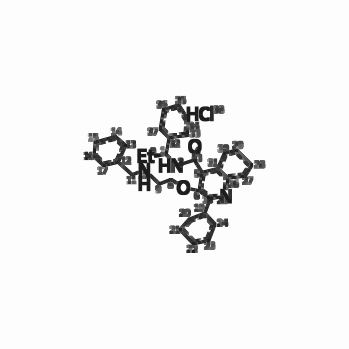 CC[C@H](NC(=O)c1c(OCCNCc2ccccc2)c(-c2ccccc2)nc2ccccc12)c1ccccc1.Cl